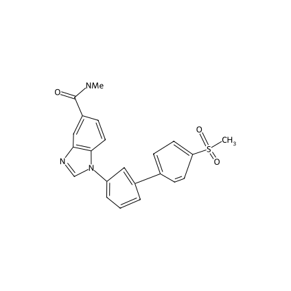 CNC(=O)c1ccc2c(c1)ncn2-c1cccc(-c2ccc(S(C)(=O)=O)cc2)c1